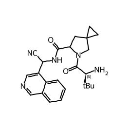 CC(C)(C)[C@H](N)C(=O)N1CC2(CC2)CC1C(=O)NC(C#N)c1cncc2ccccc12